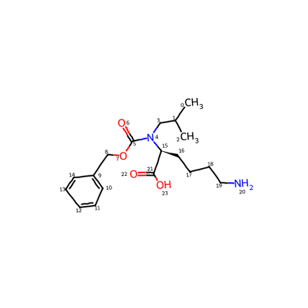 CC(C)CN(C(=O)OCc1ccccc1)[C@@H](CCCCN)C(=O)O